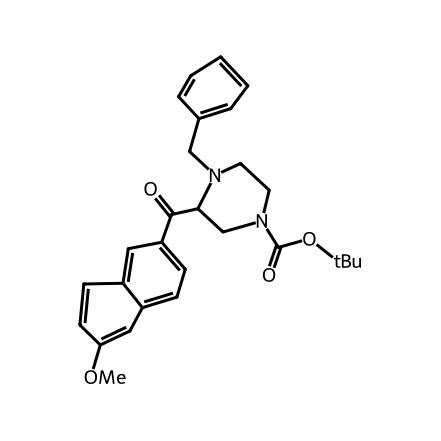 COc1ccc2cc(C(=O)C3CN(C(=O)OC(C)(C)C)CCN3Cc3ccccc3)ccc2c1